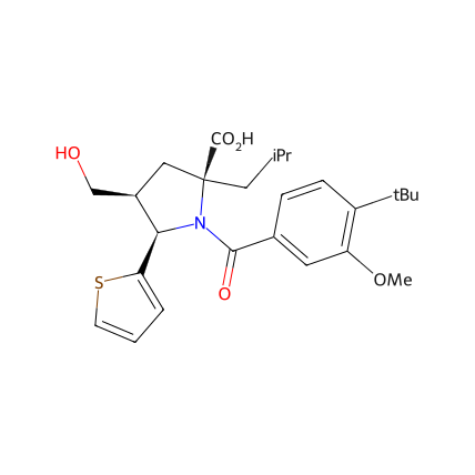 COc1cc(C(=O)N2[C@@H](c3cccs3)[C@@H](CO)C[C@@]2(CC(C)C)C(=O)O)ccc1C(C)(C)C